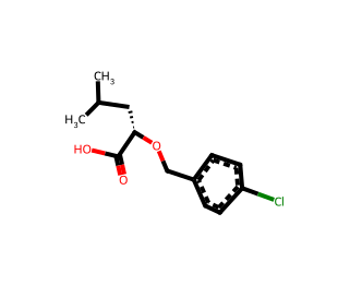 CC(C)C[C@H](OCc1ccc(Cl)cc1)C(=O)O